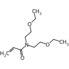 C=CC(=O)N(CCOCC)CCOCC